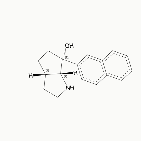 O[C@@]1(c2ccc3ccccc3c2)CC[C@H]2CCN[C@H]21